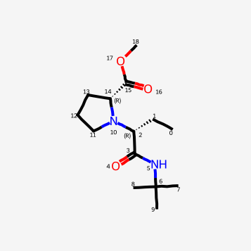 CC[C@H](C(=O)NC(C)(C)C)N1CCC[C@@H]1C(=O)OC